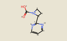 O=C(O)N1CCC1c1ncccn1